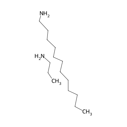 CCCCCCCCCCCCN.CCCN